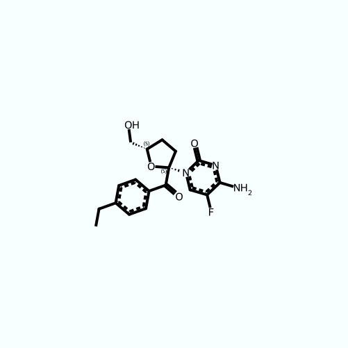 CCc1ccc(C(=O)[C@]2(n3cc(F)c(N)nc3=O)CC[C@@H](CO)O2)cc1